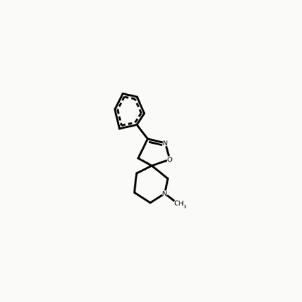 CN1CCCC2(CC(c3ccccc3)=NO2)C1